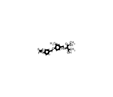 CNC(=O)C(NCc1ccc(OCc2ccc(SC(F)(F)F)cc2)c(C)c1)C(C)O